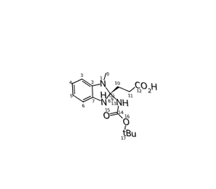 CN1c2ccccc2N[C@@]1(CCC(=O)O)NC(=O)OC(C)(C)C